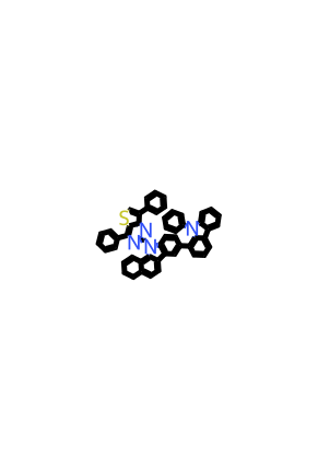 C1=Cc2c(ccc3c4cc(-c5cccc6c7ccccc7n(-c7ccccc7)c56)ccc4n(-c4nc(-c5ccccc5)c5scc(-c6ccccc6)c5n4)c23)CC1